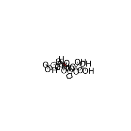 CC(C)[C@]12O[C@H]1[C@@H]1O[C@@]13[C@@]1(C)CCC4=C(COC4=O)[C@@H]1C1C[C@@]3(O1)[C@@H]2OC(=O)c1ccccc1C(=O)O[C@H]1OC(CO)[C@@H](O)C(O)C1O